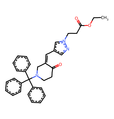 CCOC(=O)CCn1cc(C=C2CN(C(c3ccccc3)(c3ccccc3)c3ccccc3)CCC2=O)cn1